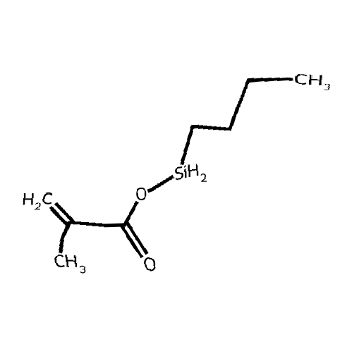 C=C(C)C(=O)O[SiH2]CCCC